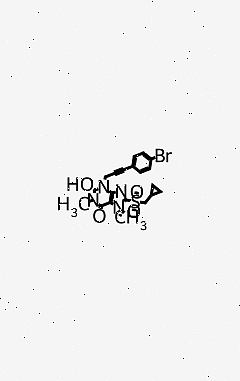 CN1C(=O)c2c(nc(S(=O)(=O)CC3CC3)n2C)N(CC#Cc2ccc(Br)cc2)C1O